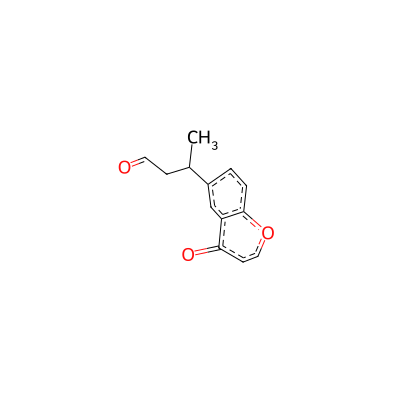 CC(CC=O)c1ccc2occc(=O)c2c1